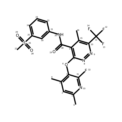 Cc1cc(C)c(Oc2nnc(C(F)(F)F)c(C)c2C(=O)Nc2cccc(S(C)(=O)=O)c2)c(F)n1